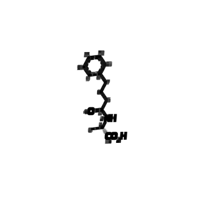 C[C@H](NC(=O)CCCc1ccccc1)C(=O)O